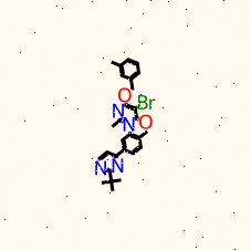 Cc1cccc(COc2nc(C)n(-c3cc(-c4ccnc(C(C)(C)C)n4)ccc3C)c(=O)c2Br)c1